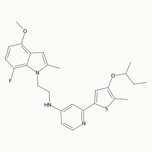 CCC(C)Oc1cc(-c2cc(NCCn3c(C)cc4c(OC)ccc(F)c43)ccn2)sc1C